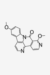 COc1ccc2c(c1)c1ccnc3c4ccnc(OC)c4c(=O)n2c13